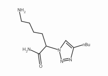 CCCCc1cn(C(CCCCN)C(N)=O)nn1